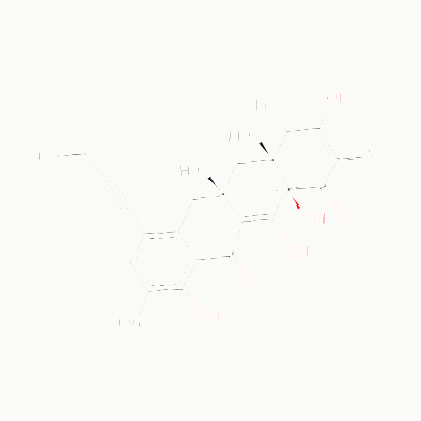 CC(=O)C1=C(O)C(C(C)C)[C@@]2(C)C[C@@]3(C)Cc4c(C#CCC(C)C)cc(C(C)(C)C)c(O)c4C(=O)C3=C(O)[C@@]2(O)C1=O